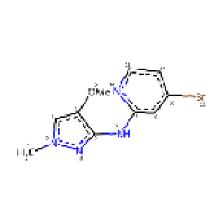 COc1cn(C)nc1Nc1cc(Br)ccn1